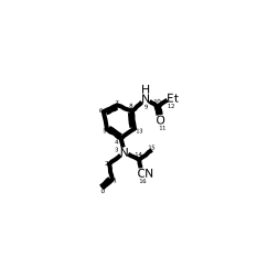 C=CCN(c1cccc(NC(=O)CC)c1)C(C)C#N